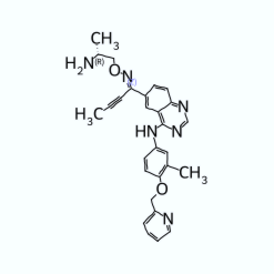 CC#C/C(=N\OC[C@@H](C)N)c1ccc2ncnc(Nc3ccc(OCc4ccccn4)c(C)c3)c2c1